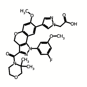 COc1cc(F)cc(-n2nc(C(=O)N3CCOCC3(C)C)c3c2-c2cc(-c4cnn(CC(=O)O)c4)c(OC)cc2OC3)c1